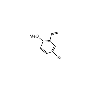 C=Cc1cc(Br)ccc1OC